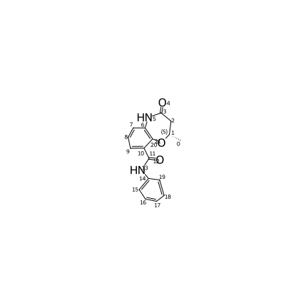 C[C@H]1CC(=O)Nc2cccc(C(=O)Nc3ccccc3)c2O1